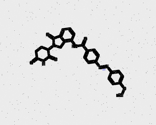 CCCCOc1ccc(/N=N/c2ccc(C(=O)Nc3cccc4c3CN(C3CCC(=O)NC3=O)C4=O)cc2)cc1